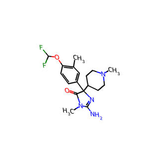 Cc1cc(C2(C3CCN(C)CC3)N=C(N)N(C)C2=O)ccc1OC(F)F